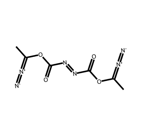 CC(=[N+]=[N-])OC(=O)/N=N/C(=O)OC(C)=[N+]=[N-]